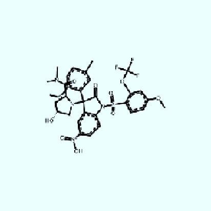 COc1ccc(S(=O)(=O)N2C(=O)C(c3cc(C)ccc3OC)(N3C[C@H](O)C[C@H]3C(=O)N(C)C)c3cc([N+](=O)O)ccc32)c(OC(F)(F)F)c1